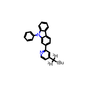 [2H]C([2H])(c1ccnc(-c2ccc3c4ccccc4n(-c4ccccc4)c3c2)c1)C(C)(C)C